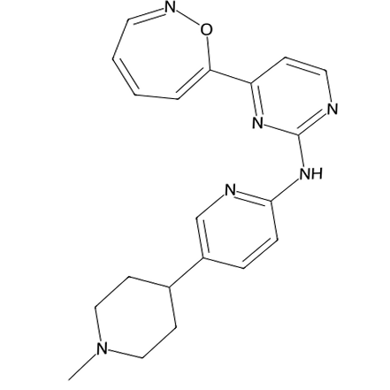 CN1CCC(c2ccc(Nc3nccc(C4=CC=CC=NO4)n3)nc2)CC1